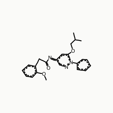 COc1ccccc1CC(=O)/N=c1\cnn(-c2ccccc2)c(OCC(C)C)c1